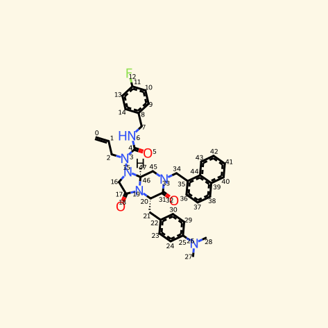 C=CCN(C(=O)NCc1ccc(F)cc1)N1CC(=O)N2[C@@H](Cc3ccc(N(C)C)cc3)C(=O)N(Cc3cccc4ccccc34)C[C@@H]21